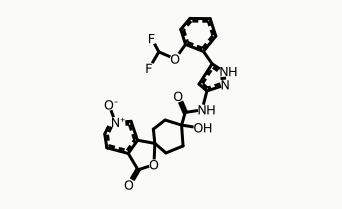 O=C1OC2(CCC(O)(C(=O)Nc3cc(-c4ccccc4OC(F)F)[nH]n3)CC2)c2c[n+]([O-])ccc21